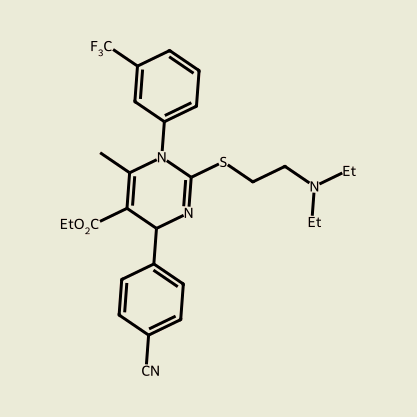 CCOC(=O)C1=C(C)N(c2cccc(C(F)(F)F)c2)C(SCCN(CC)CC)=NC1c1ccc(C#N)cc1